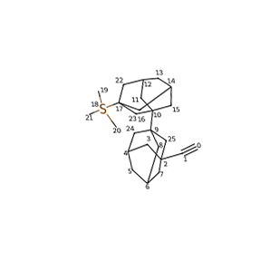 C#CC12CC3CC(C1)CC(C14CC5CC(C1)CC(S(C)(C)C)(C5)C4)(C3)C2